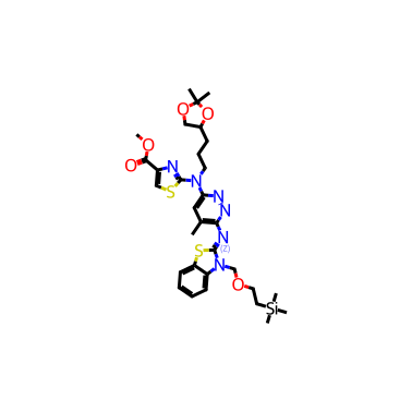 COC(=O)c1csc(N(CCCC2COC(C)(C)O2)c2cc(C)c(/N=c3\sc4ccccc4n3COCC[Si](C)(C)C)nn2)n1